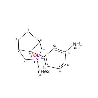 CCCCCCN1CC2CCC(C1)C2(O)c1cccc(N)c1